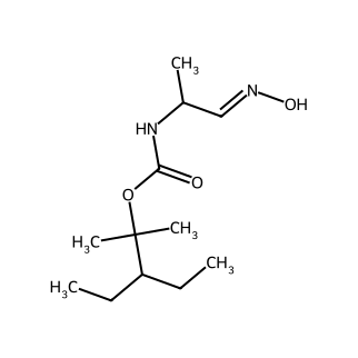 CCC(CC)C(C)(C)OC(=O)NC(C)C=NO